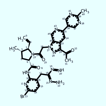 C=C[C@@H]1[C@@H](C)C[C@@H](C(=O)Nc2nc(Br)ccc2C/C(N=N)=N/N)N1C(=O)Cn1nc(C(C)=O)c2cc(-c3cnc(C)nc3)ncc21